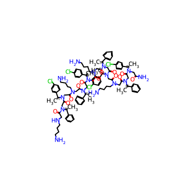 C[C@H](c1ccc(Cl)cc1)N(CC(N)=O)C(=O)CN(C(=O)CN(CCCCN)C(=O)CN(C(=O)CN(C(=O)CN(CCCCN)C(=O)CN(C(=O)CN(C(=O)CN(CCCCN)C(=O)CN(C(=O)CN(C(=O)CNCCCCN)[C@H](C)c1ccccc1)[C@H](C)c1ccc(Cl)cc1)[C@H](C)c1ccccc1)[C@H](C)c1ccc(Cl)cc1)[C@H](C)c1ccccc1)[C@H](C)c1ccc(Cl)cc1)[C@H](C)c1ccccc1